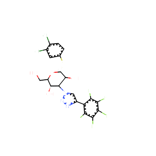 OCC1O[C@H](Sc2ccc(Cl)c(Cl)c2)C(O)C(n2cc(-c3c(F)c(F)c(F)c(F)c3F)nn2)[C@H]1O